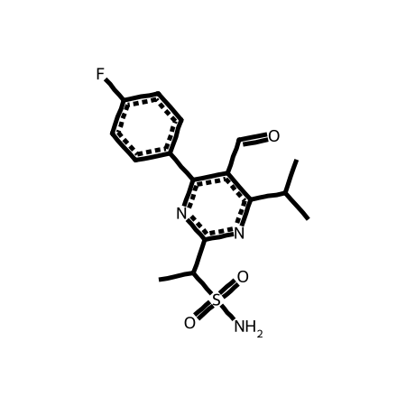 CC(C)c1nc(C(C)S(N)(=O)=O)nc(-c2ccc(F)cc2)c1C=O